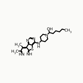 CCCCCC(O)N1CCC(Nc2ncnc3c2SC(=N)/C3=C(/C)C(C)=N)CC1